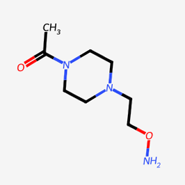 CC(=O)N1CCN(CCON)CC1